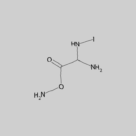 NOC(=O)C(N)NI